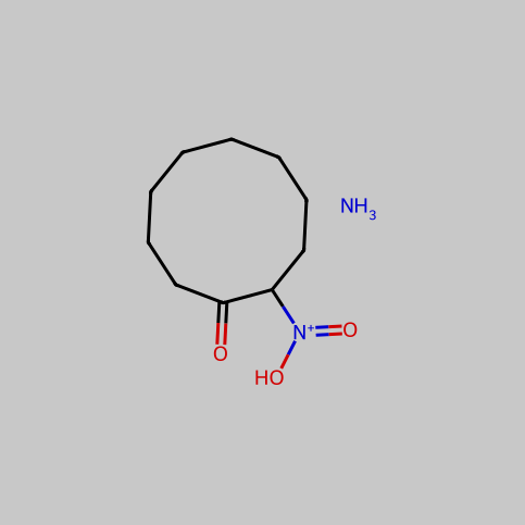 N.O=C1CCCCCCCCC1[N+](=O)O